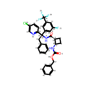 O=C(N[C@@H]1CC[C@@H]1C(=O)N[C@@](Cc1ccccc1)(c1cc(F)cc(C(F)(F)F)c1)c1ccc(Cl)cn1)OCc1ccccc1